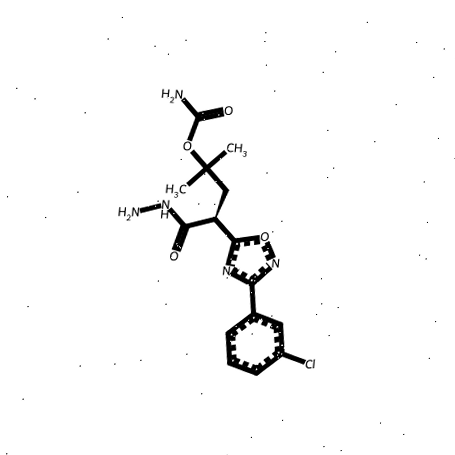 CC(C)(C[C@H](C(=O)NN)c1nc(-c2cccc(Cl)c2)no1)OC(N)=O